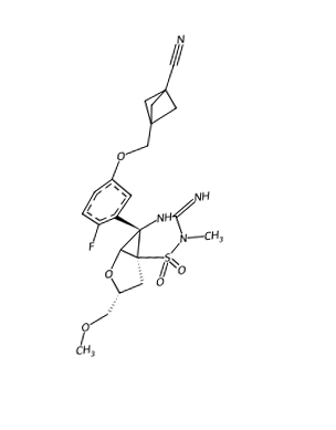 COC[C@H]1C[C@]23C(O1)[C@]2(c1cc(OCC24CC(C#N)(C2)C4)ccc1F)NC(=N)N(C)S3(=O)=O